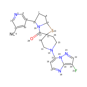 N#Cc1cncc(C2CCC3SC4(CCN(c5ccnc6c(F)cnn56)CC4)C(=O)N32)c1